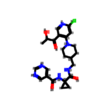 CC(O)C(=O)c1cnc(Cl)cc1N1CCC(CNC(=O)C2(NC(=O)c3cncnc3)CC2)CC1